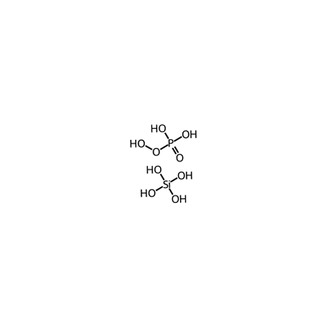 O=P(O)(O)OO.O[Si](O)(O)O